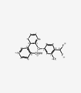 CCc1cc(OC2=NC=CCC2c2cnccc2OC)ccc1C(F)F